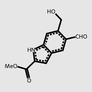 COC(=O)c1cc2cc(C=O)c(CO)cc2[nH]1